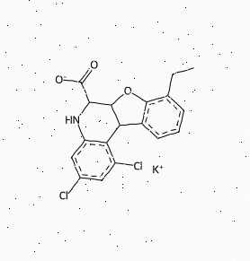 CCc1cccc2c1OC1C(C(=O)[O-])Nc3cc(Cl)cc(Cl)c3C21.[K+]